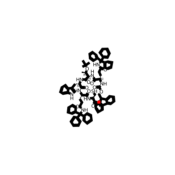 COC(=O)[C@H](CS)NC(=O)[C@H](CCC(=O)NC(c1ccccc1)(c1ccccc1)c1ccccc1)NC(=O)[C@H](Cc1c[nH]c2ccccc12)NC(=O)[C@@H](NC(=O)[C@H](CCC(=O)NC(c1ccccc1)(c1ccccc1)c1ccccc1)NC(=O)OCC1c2ccccc2-c2ccccc21)[C@@H](C)OC(C)(C)C